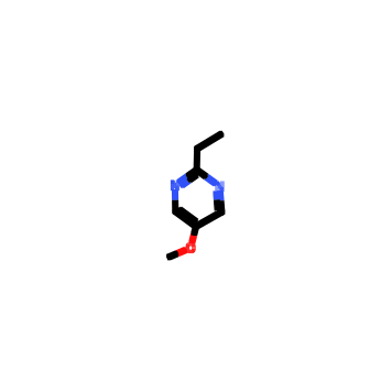 CCc1ncc(OC)cn1